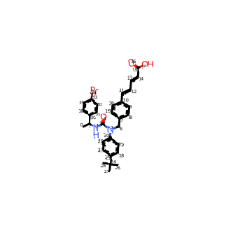 CC(NC(=O)N(Cc1ccc(/C=C/C=C/C(=O)O)cc1)c1ccc(C(C)(C)C)cc1)c1ccc(Br)cc1